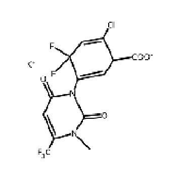 Cn1c(C(F)(F)F)cc(=O)n(C2=CC(C(=O)[O-])C(Cl)=CC2(F)F)c1=O.[K+]